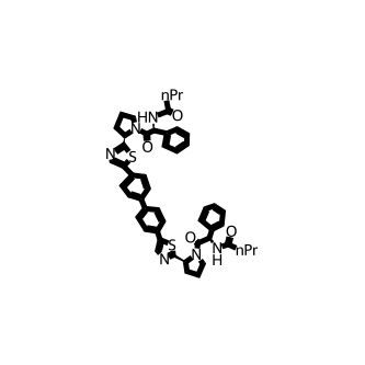 CCCC(=O)N[C@@H](C(=O)N1CCC[C@H]1c1ncc(-c2ccc(-c3ccc(-c4cnc([C@@H]5CCCN5C(=O)[C@H](NC(=O)CCC)c5ccccc5)s4)cc3)cc2)s1)c1ccccc1